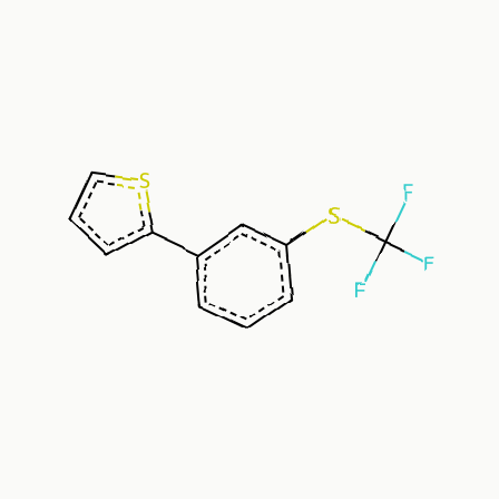 FC(F)(F)Sc1cccc(-c2cccs2)c1